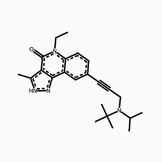 CCn1c(=O)c2c(C)[nH]nc2c2cc(C#CCN(C(C)C)C(C)(C)C)ccc21